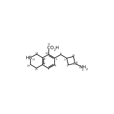 NN1CC(Cc2ccc3c(c2C(=O)O)CBCC3)C1